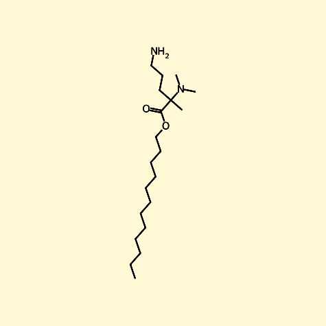 CCCCCCCCCCCCOC(=O)C(C)(CCCN)N(C)C